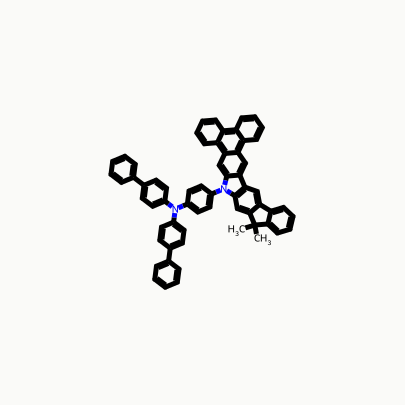 CC1(C)c2ccccc2-c2cc3c4cc5c6ccccc6c6ccccc6c5cc4n(-c4ccc(N(c5ccc(-c6ccccc6)cc5)c5ccc(-c6ccccc6)cc5)cc4)c3cc21